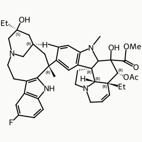 CC[C@]1(O)C[C@@H]2CN(CCc3c([nH]c4ccc(F)cc34)[C@@](C)(c3cc4c(cc3C)N(C)C3C(O)(C(=O)OC)[C@H](OC(C)=O)[C@]5(CC)C=CCN6CC[C@]43[C@@H]65)C2)C1